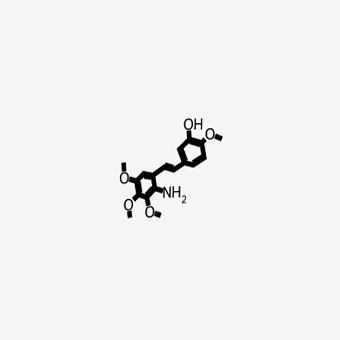 COc1ccc(C=Cc2cc(OC)c(OC)c(OC)c2N)cc1O